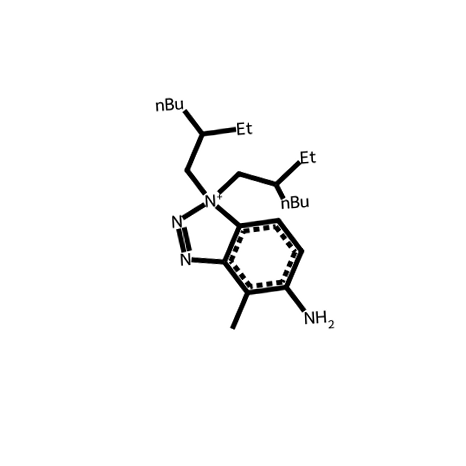 CCCCC(CC)C[N+]1(CC(CC)CCCC)N=Nc2c1ccc(N)c2C